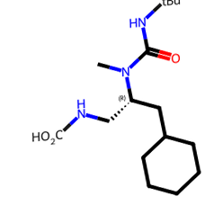 CN(C(=O)NC(C)(C)C)[C@@H](CNC(=O)O)CC1CCCCC1